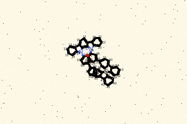 c1ccc(-c2ccc(-n3c4ccccc4c4ccc5c6ccccc6n(-c6cccc(-c7ccc8c(c7)[Si]7(c9ccccc9-c9ccccc97)c7ccccc7-8)c6)c5c43)cc2)cc1